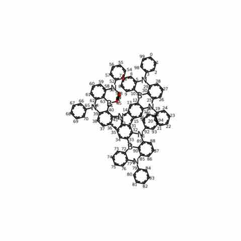 c1ccc(N2c3ccccc3B3c4cc5c(cc4N(c4ccccc4)c4cccc2c43)c2c3c(cc4c6ccc7c(c6n5c42)B2c4ccccc4N(c4ccccc4)c4cccc(c42)N7c2ccccc2)B2c4ccccc4N(c4ccccc4)c4cccc(c42)N3c2ccccc2)cc1